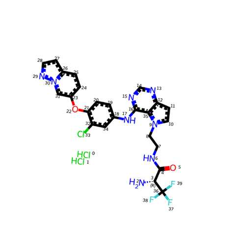 Cl.Cl.N[C@H](C(=O)NCCn1ccc2ncnc(Nc3ccc(Oc4ccc5ccnn5c4)c(Cl)c3)c21)C(F)(F)F